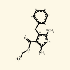 CCOC(=O)c1c(N)sc(C)c1Cc1ccccc1